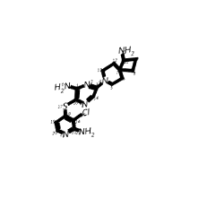 Nc1nc(N2CCC3(CCC3N)CC2)cnc1Sc1ccnc(N)c1Cl